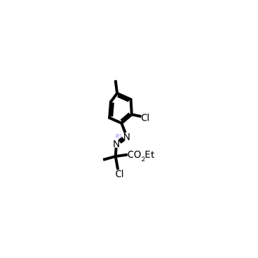 CCOC(=O)C(C)(Cl)/N=N/c1ccc(C)cc1Cl